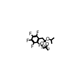 CC(C)OC(Cc1c(F)c(F)c(F)c(F)c1F)(O[SiH3])OC(C)C